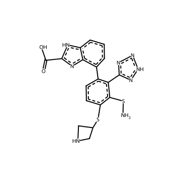 NSc1c(SC2CNC2)ccc(-c2cccc3[nH]c(C(=O)O)nc23)c1-c1nn[nH]n1